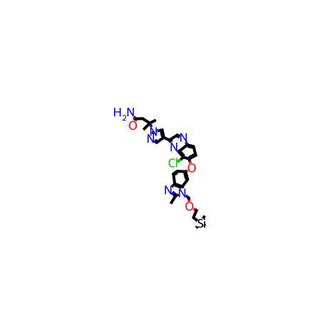 Cc1nc2ccc(Oc3ccc4ncc(-c5cnn(C(C)(C)CC(N)=O)c5)nc4c3Cl)cc2n1COCC[Si](C)(C)C